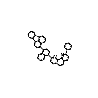 c1ccc(-c2ccc3ccc4ccc(-c5ccc(-c6ccc7c8c(cccc68)-c6ccccc6-7)c6ccccc56)nc4c3n2)cc1